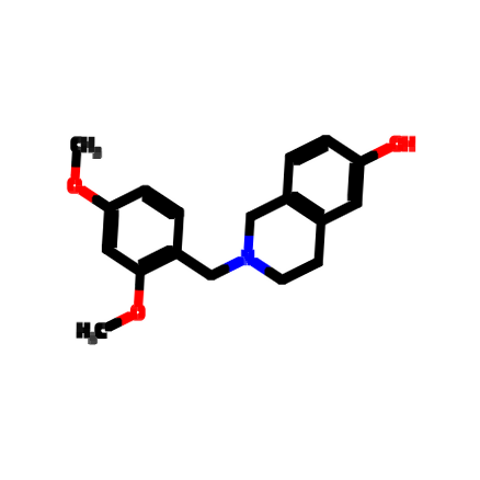 COc1ccc(CN2CCc3cc(O)ccc3C2)c(OC)c1